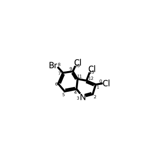 Clc1cnc2ccc(Br)c(Cl)c2c1Cl